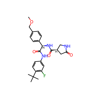 COCc1ccc([C@@H](NC(=O)[C@H]2CNC(=O)C2)C(=O)Nc2ccc(C(C)(C)C)c(F)c2)cc1